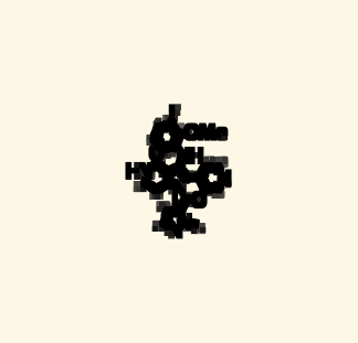 COc1c(F)cccc1Nc1c(-c2ccncc2OCc2ccnn2C)[nH]c2c1C(=O)NCC2